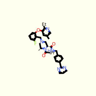 CCc1ncc(C)cc1Oc1cccc(F)c1CN1C[C@@H](C)N(C(=O)C(C)C)[C@@H](C(=O)NCc2ccc(-c3ncccn3)cc2)C1